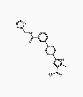 Cc1[nH]c(-c2ccc(-c3cccc(C(=O)NCc4ccco4)c3)cc2)cc1C(N)=O